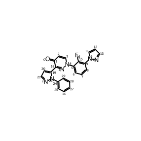 O=c1ccn(-c2cccc(-n3cccn3)c2F)nc1-c1ccnn1-c1ccccc1